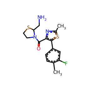 Cc1nc(C(=O)N2CCSC2CN)c(-c2ccc(C)c(F)c2)s1